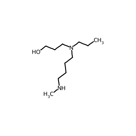 CCCN(CCCO)CCCCNC